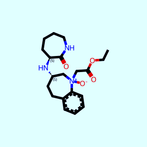 CCOC(=O)C[N+]1([O-])C[C@@H](N[C@H]2CCCCNC2=O)CCc2ccccc21